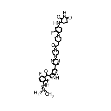 CCN(C)SNc1ccc(F)c(C(=O)c2c[nH]c3ncc(-c4cnc(N5CCN(C(=O)CC6CCN(c7ccc(NC8CCC(=O)NC8=O)cc7F)CC6)CC5)nc4)cc23)c1F